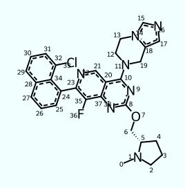 CN1CCC[C@H]1COc1nc(N2CCn3cncc3C2)c2cnc(-c3cccc4cccc(Cl)c34)c(F)c2n1